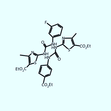 CCOC(=O)c1ccc(NC(=O)Nc2nc(C)c(C(=O)OCC)s2)cc1.CCOC(=O)c1sc(NC(=O)Nc2cccc(F)c2)nc1C